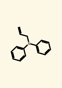 C=CC[Si](c1ccccc1)c1ccccc1